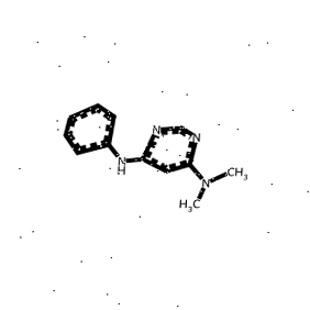 CN(C)c1cc(Nc2ccccc2)ncn1